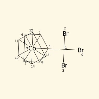 BrC(Br)(Br)[C]12[CH]3[CH]4[CH]5[CH]1[Co]45321678[CH]2[CH]1[CH]6[CH]7[CH]28